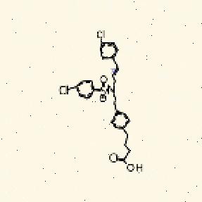 O=C(O)CCCc1ccc(CCN(C/C=C/c2ccc(Cl)cc2)S(=O)(=O)c2ccc(Cl)cc2)cc1